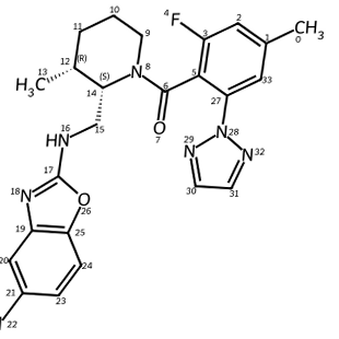 Cc1cc(F)c(C(=O)N2CCC[C@@H](C)[C@H]2CNc2nc3cc(Cl)ccc3o2)c(-n2nccn2)c1